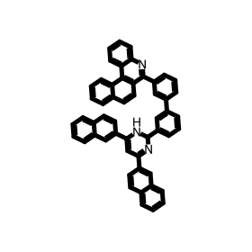 C1=C(c2ccc3ccccc3c2)NC(c2cccc(-c3cccc(-c4nc5ccccc5c5c4ccc4ccccc45)c3)c2)N=C1c1ccc2ccccc2c1